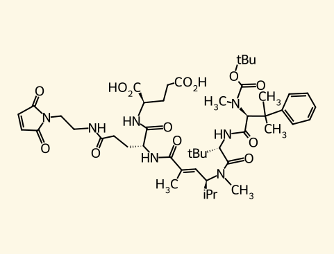 C/C(=C\[C@H](C(C)C)N(C)C(=O)[C@@H](NC(=O)[C@@H](N(C)C(=O)OC(C)(C)C)C(C)(C)c1ccccc1)C(C)(C)C)C(=O)N[C@H](CCC(=O)NCCN1C(=O)C=CC1=O)C(=O)N[C@H](CCC(=O)O)C(=O)O